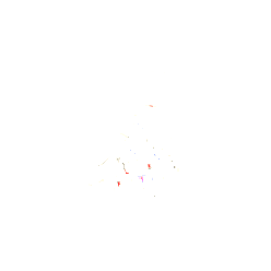 C=C/C=C\C(NC(=O)NCC(=O)OCC)=C(/C)N[C@H]1C[C@H]2CCC[C@@H](C1)N2[C@H]1C[C@@H]2CCC[C@@H](C2)C1